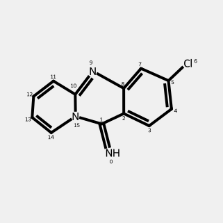 N=c1c2ccc(Cl)cc2nc2ccccn12